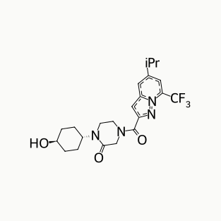 CC(C)c1cc(C(F)(F)F)n2nc(C(=O)N3CCN([C@H]4CC[C@H](O)CC4)C(=O)C3)cc2c1